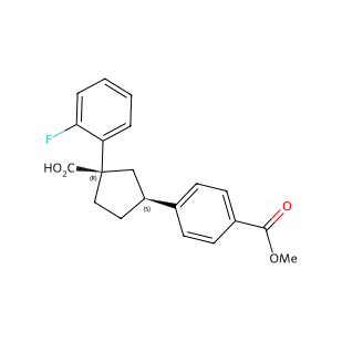 COC(=O)c1ccc([C@H]2CC[C@](C(=O)O)(c3ccccc3F)C2)cc1